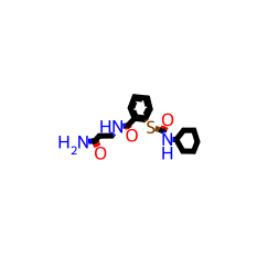 NC(=O)CCNC(=O)c1ccccc1SC(=O)NC1CCCCC1